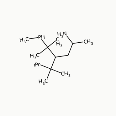 CPC(C)(C)C(CC(C)N)C(C)(C)C(C)C